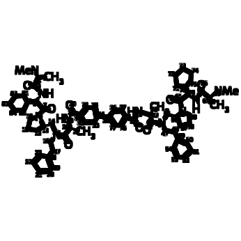 CN[C@@H](C)C(=O)N[C@H](C(=O)N1CCC[C@H]1CN(CCc1ccccc1)C(=O)[C@@H](C)NC(=O)c1ccc(-c2ccc(C(=O)N[C@H](C)C(=O)N(CCc3ccccc3)C[C@@H]3CCCN3C(=O)[C@@H](NC(=O)[C@H](C)NC)C3CCCCC3)cc2)cc1)C1CCCCC1